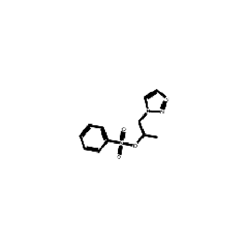 CC(Cn1ccnn1)OS(=O)(=O)c1ccccc1